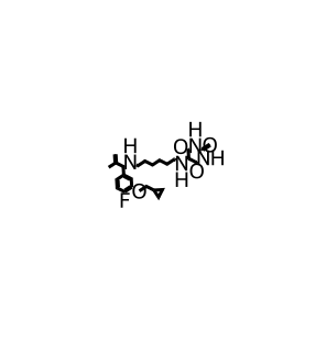 C=C(C)[C@@H](NCCCCCCNC1C(=O)NC(=O)NC1=O)c1ccc(F)c(OCC2CC2)c1